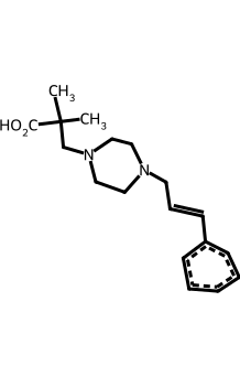 CC(C)(CN1CCN(CC=Cc2ccccc2)CC1)C(=O)O